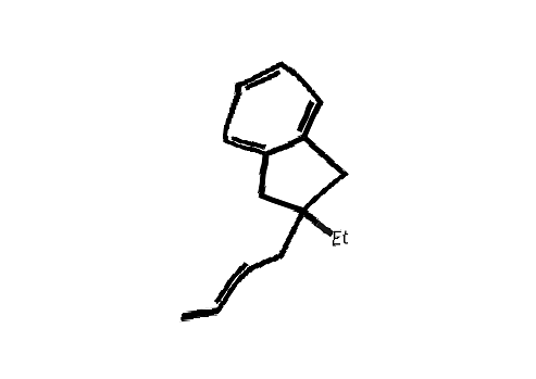 C/C=C/CC1(CC)Cc2ccccc2C1